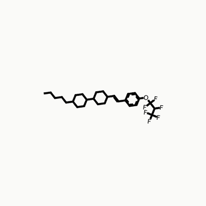 CCCCCC1CCC(C2CCC(C=Cc3ccc(OC(F)(F)C(F)C(F)(F)F)cc3)CC2)CC1